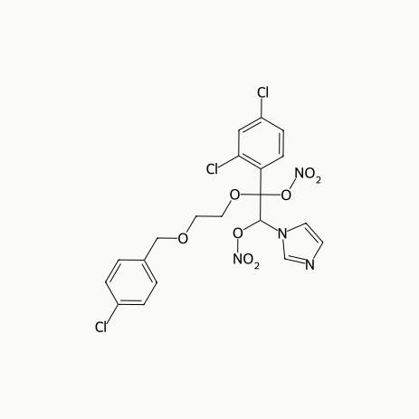 O=[N+]([O-])OC(n1ccnc1)C(OCCOCc1ccc(Cl)cc1)(O[N+](=O)[O-])c1ccc(Cl)cc1Cl